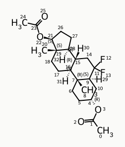 CC(=O)O[C@@H]1CC[C@@]2(C)[C@H](C1)C(F)(F)C[C@@H]1[C@@H]2CC[C@]2(C)[C@@H](OC(C)=O)CC[C@@H]12